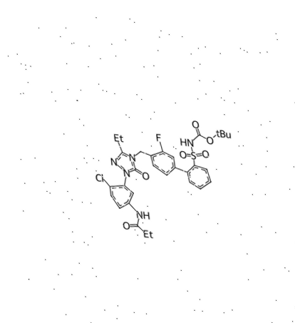 CCC(=O)Nc1ccc(Cl)c(-n2nc(CC)n(Cc3ccc(-c4ccccc4S(=O)(=O)NC(=O)OC(C)(C)C)cc3F)c2=O)c1